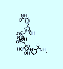 COP(=O)(OC[C@H]1O[C@H](N2C=CCC(C(N)=O)=C2)C[C@@H]1O)OP(=O)(O)OC[C@H]1O[C@H](N2C=CCC(C(N)=O)=C2)[C@H](O)[C@@H]1O